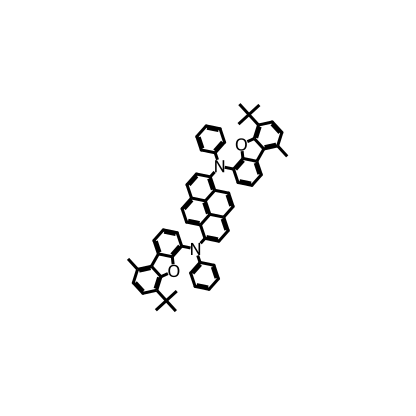 Cc1ccc(C(C)(C)C)c2oc3c(N(c4ccccc4)c4ccc5ccc6c(N(c7ccccc7)c7cccc8c7oc7c(C(C)(C)C)ccc(C)c78)ccc7ccc4c5c76)cccc3c12